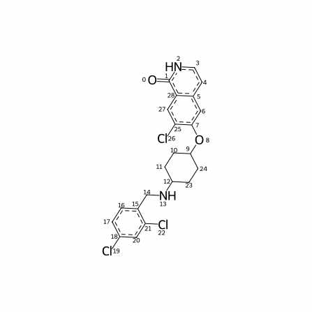 O=c1[nH]ccc2cc(OC3CCC(NCc4ccc(Cl)cc4Cl)CC3)c(Cl)cc12